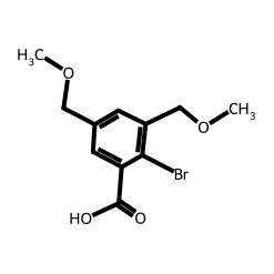 COCc1cc(COC)c(Br)c(C(=O)O)c1